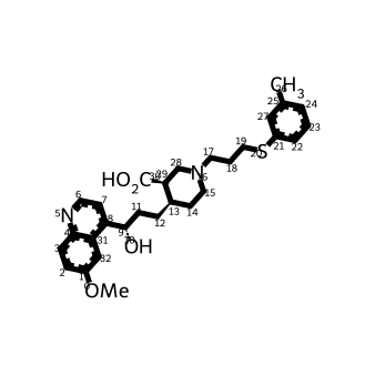 COc1ccc2nccc([C@@H](O)CC[C@@H]3CCN(CCCSc4cccc(C)c4)C[C@@H]3C(=O)O)c2c1